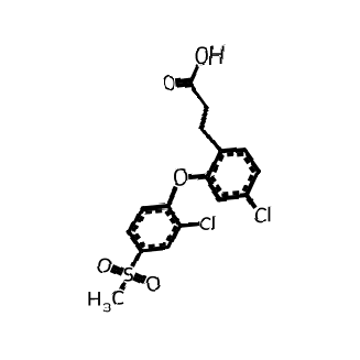 CS(=O)(=O)c1ccc(Oc2cc(Cl)ccc2CCC(=O)O)c(Cl)c1